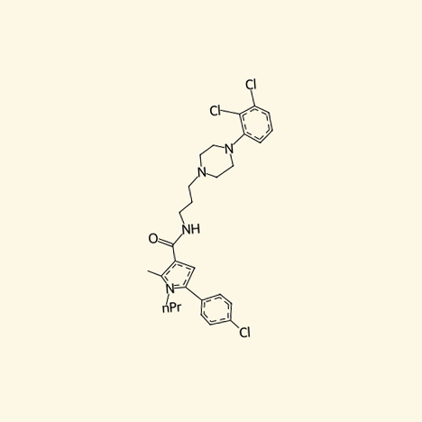 CCCn1c(-c2ccc(Cl)cc2)cc(C(=O)NCCCN2CCN(c3cccc(Cl)c3Cl)CC2)c1C